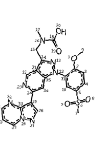 COc1ccc(S(C)(=O)=O)cc1-n1nc(CN(C)C(=O)O)c2cnc(-c3cnn4cccnc34)cc21